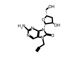 C#CCn1c(=O)n([C@@H]2O[C@H](CO)C[C@H]2O)c2nc(N)ncc21